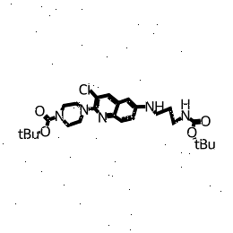 CC(C)(C)OC(=O)NCCCNc1ccc2nc(N3CCN(C(=O)OC(C)(C)C)CC3)c(Cl)cc2c1